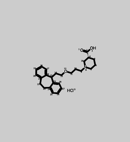 Cl.O=C(O)[C@@H]1CCCN(CCCOCCC2c3ccccc3CCc3ccccc32)C1